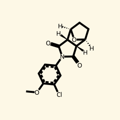 COc1ccc(N2C(=O)[C@@H]3[C@H](C2=O)[C@H]2CC[C@@H]3O2)cc1Cl